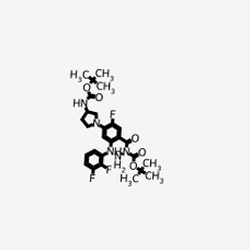 CC(C)(C)OC(=O)NC1CCN(c2cc(Nc3cccc(F)c3F)c(C(=O)N(N)C(=O)OC(C)(C)C)cc2F)C1